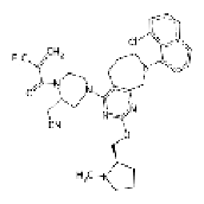 C=C(C(=O)N1CCN(c2nc(OC[C@H]3CCCN3C)nc3c2CCCN(c2cccc4cccc(Cl)c24)C3)C[C@@H]1CC#N)C(F)(F)F